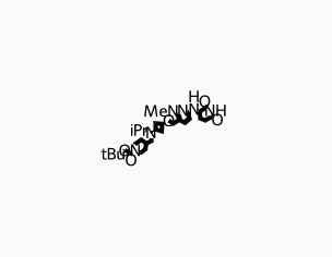 CNc1nc(NC2CCC(=O)NC2=O)ccc1CO[C@H]1C[C@H](N(CC2CCN(C(=O)OC(C)(C)C)CC2)C(C)C)C1